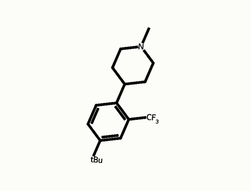 CN1CCC(c2ccc(C(C)(C)C)cc2C(F)(F)F)CC1